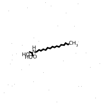 CCCCCCCCCCCCCCCCNC(CO)C(=O)O